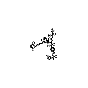 CC(C)C(NC(=O)CCCCCN1C(=O)C=CC1=O)C(=O)N[C@@H](CCCNC(N)=O)C(=O)Nc1ccc(COC(=O)N(C)C2CCN(C)C2)cc1